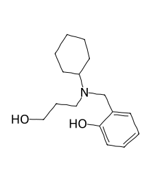 OCCCN(Cc1ccccc1O)C1CCCCC1